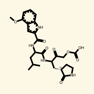 COc1cccc2[nH]c(C(=O)NC(CC(C)C)C(=O)NC(C[C@@H]3CCNC3=O)C(=O)COC(=O)O)cc12